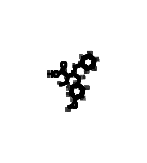 CCC(C(=O)O)N(Cc1ccccc1)Cc1ccc(OC)cc1